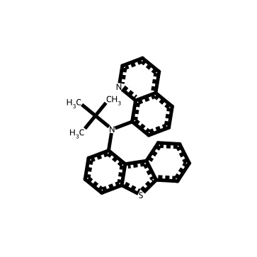 CC(C)(C)N(c1cccc2cccnc12)c1cccc2sc3ccccc3c12